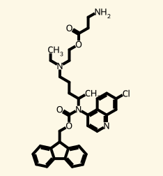 CCN(CCCC(C)N(C(=O)OCC1c2ccccc2-c2ccccc21)c1ccnc2cc(Cl)ccc12)CCOC(=O)CCN